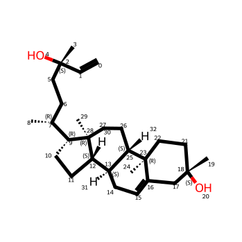 C=C[C@@](C)(O)CC[C@@H](C)[C@H]1CC[C@H]2[C@@H]3CC=C4C[C@@](C)(O)CC[C@]4(C)[C@H]3CC[C@]12C